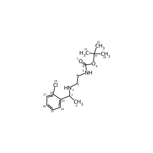 CC(NCCNC(=O)OC(C)(C)C)c1ccccc1Cl